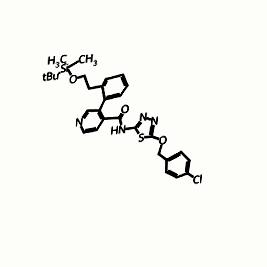 CC(C)(C)[Si](C)(C)OCCc1ccccc1-c1cnccc1C(=O)Nc1nnc(OCc2ccc(Cl)cc2)s1